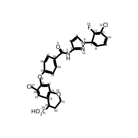 O=C(Nc1ccn(-c2cccc(Cl)c2F)n1)c1ccc(Oc2cc3c(cc2Cl)C(C(=O)O)CCO3)cc1